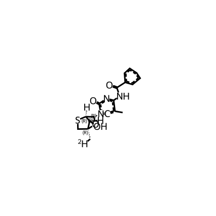 [2H]C[C@@]12CS[C@@H]([C@H](n3cc(C)c(NC(=O)c4ccccc4)nc3=O)O1)[C@@H]2O